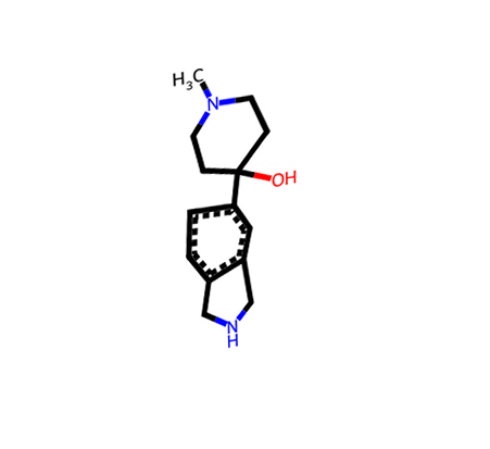 CN1CCC(O)(c2ccc3c(c2)CNC3)CC1